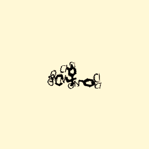 CN(Cc1ccc(Cl)c(Cl)c1)C(=O)C(C)(CCN1CCCN(S(C)(=O)=O)CC1)c1ccc(Cl)c(Cl)c1